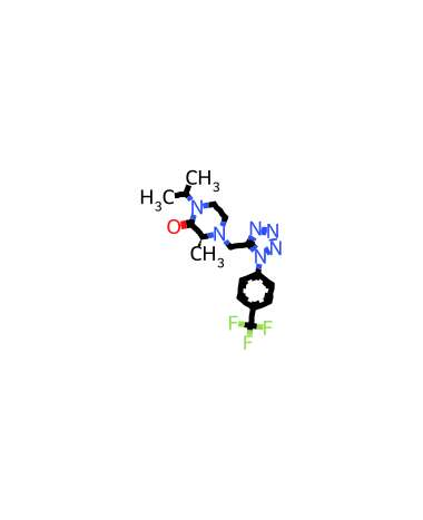 CC(C)N1CCN(Cc2nnnn2-c2ccc(C(F)(F)F)cc2)[C@H](C)C1=O